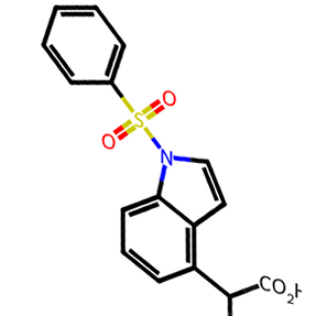 CC(C)(C)C(C(=O)O)c1cccc2c1ccn2S(=O)(=O)c1ccccc1